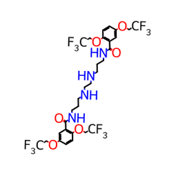 O=C(NCCCNCCNCCCNC(=O)c1cc(OCC(F)(F)F)ccc1OCC(F)(F)F)c1cc(OCC(F)(F)F)ccc1OCC(F)(F)F